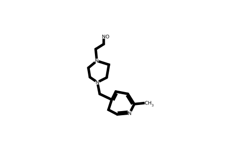 CC1=CC=C(CN2CCN(CCN=O)CC2)CC=N1